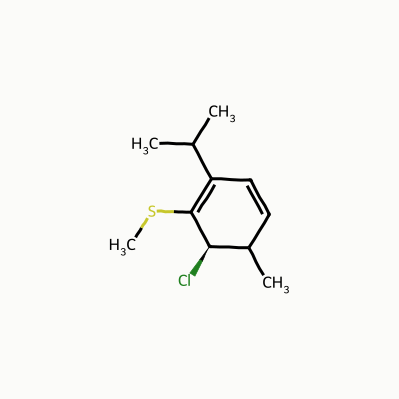 CSC1=C(C(C)C)C=CC(C)[C@H]1Cl